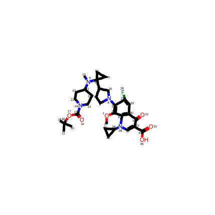 COc1c(N2CCC(C3(N(C)C4CCN(C(=O)OC(C)(C)C)CC4)CC3)C2)c(F)cc2c(=O)c(C(=O)O)cn(C3CC3)c12